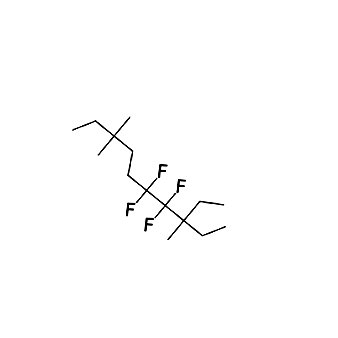 CCC(C)(C)CCC(F)(F)C(F)(F)C(C)(CC)CC